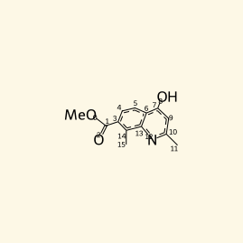 COC(=O)c1ccc2c(O)cc(C)nc2c1C